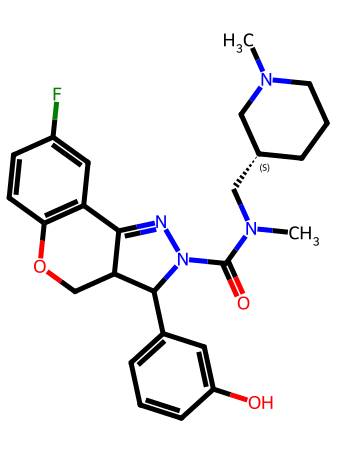 CN1CCC[C@H](CN(C)C(=O)N2N=C3c4cc(F)ccc4OCC3C2c2cccc(O)c2)C1